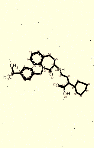 CC(C)c1ccc(CN2C(=O)C(NCCC(C(=O)O)C3CCCCC3)CCc3ccccc32)cc1